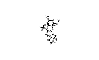 COc1ccc(CN(C(=O)OC(C)(C)C)[C@@H]2C[C@@H]3C=CC[C@H]23)c(OC)c1